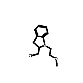 COCCN1c2ccccc2CC1CCl